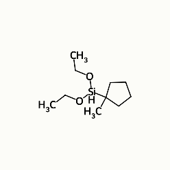 CCO[SiH](OCC)C1(C)CCCC1